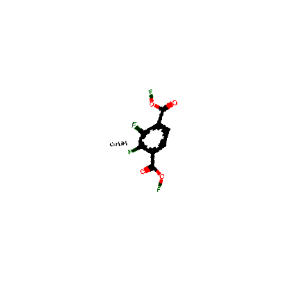 O=C(OF)c1ccc(C(=O)OF)c(F)c1F.[Cu].[LiH]